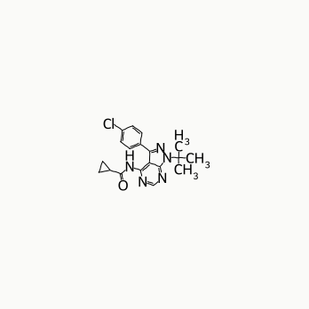 CC(C)(C)n1nc(-c2ccc(Cl)cc2)c2c(NC(=O)C3CC3)ncnc21